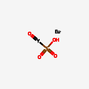 [Eu].[O]=[Y][S](=O)(=O)O